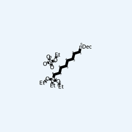 CCCCCCCCCCCCCCCCCC[N+](CC)(OCC)OCC.CCOS(=O)(=O)[O-]